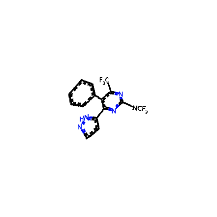 FC(F)(F)Nc1nc(-c2ccn[nH]2)c(-c2ccccc2)c(C(F)(F)F)n1